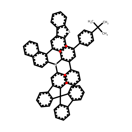 CC(C)(C)c1ccc(-c2ccc(N(c3ccc4c(c3)-c3ccccc3C43c4ccccc4-c4ccccc43)c3ccc4ccccc4c3-c3ccc4sc5ccccc5c4c3)c(-c3ccccc3)c2)cc1